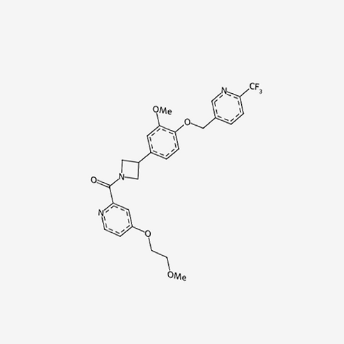 COCCOc1ccnc(C(=O)N2CC(c3ccc(OCc4ccc(C(F)(F)F)nc4)c(OC)c3)C2)c1